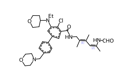 CCN(c1cc(-c2ccc(CN3CCOCC3)cc2)cc(C(=O)NC/C(C)=C(C)/C=C(/C)NC=O)c1Cl)C1CCOCC1